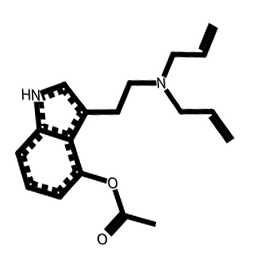 C=CCN(CC=C)CCc1c[nH]c2cccc(OC(C)=O)c12